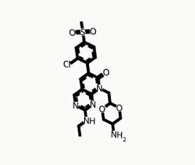 CCNc1ncc2cc(-c3ccc(S(C)(=O)=O)cc3Cl)c(=O)n(CC3OCC(N)CO3)c2n1